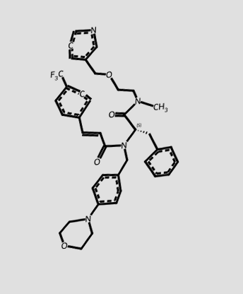 CN(CCOCc1cccnc1)C(=O)[C@H](Cc1ccccc1)N(Cc1ccc(N2CCOCC2)cc1)C(=O)C=Cc1ccc(C(F)(F)F)cc1